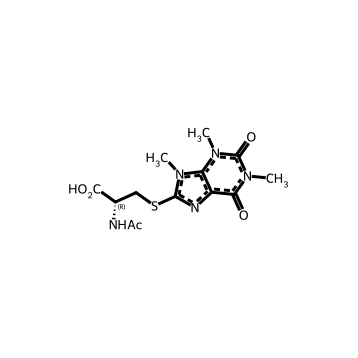 CC(=O)N[C@@H](CSc1nc2c(=O)n(C)c(=O)n(C)c2n1C)C(=O)O